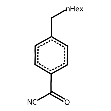 CCCCCCCc1ccc(C(=O)C#N)cc1